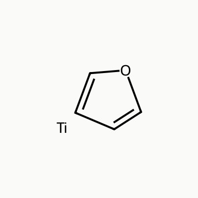 [Ti].c1ccoc1